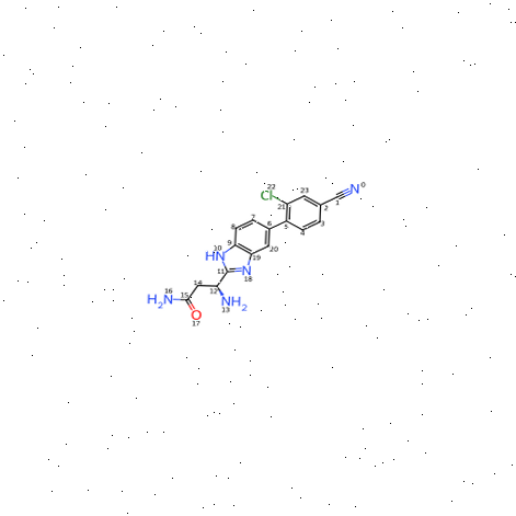 N#Cc1ccc(-c2ccc3[nH]c([C@@H](N)CC(N)=O)nc3c2)c(Cl)c1